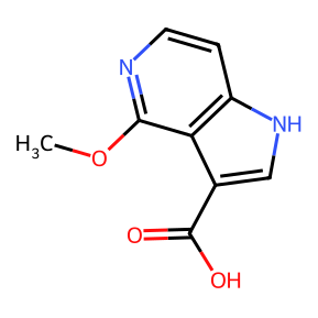 COc1nccc2[nH]cc(C(=O)O)c12